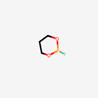 FP1OCCCO1